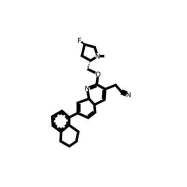 CN1C[C@H](F)C[C@H]1COC1=NC2C=C(c3cccc4c3CCCC4)C=CC2C=C1CC#N